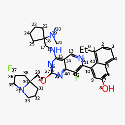 CCc1cccc2cc(O)cc(-c3ncc4c(NCC5(N(C)C)CCCC5)nc(OC[C@@]56CCCN5C[C@H](F)C6)nc4c3F)c12